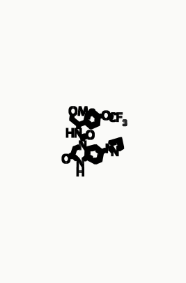 COCC(NC(=O)N1CC(=O)Nc2ccc(-n3cccn3)cc21)c1ccc(OC(F)(F)F)cc1